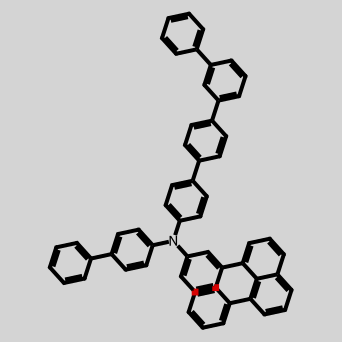 c1ccc(-c2ccc(N(c3ccc(-c4ccc(-c5cccc(-c6ccccc6)c5)cc4)cc3)c3cccc(-c4cccc5cccc(-c6ccccc6)c45)c3)cc2)cc1